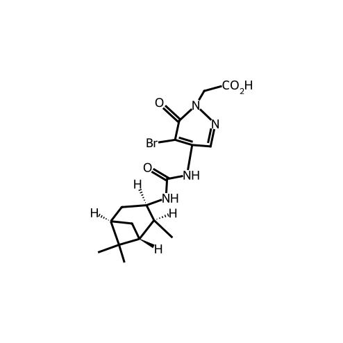 C[C@H]1[C@H]2C[C@H](C[C@H]1NC(=O)Nc1cnn(CC(=O)O)c(=O)c1Br)C2(C)C